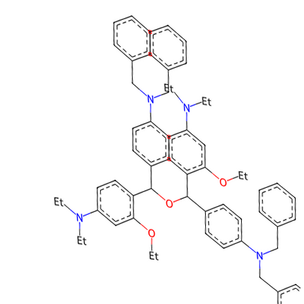 CCOc1cc(N(CC)CC)ccc1C(OC(c1ccc(N(Cc2ccccc2)Cc2ccccc2)cc1)c1ccc(N(CC)CC)cc1OCC)c1ccc(N(Cc2ccccc2)Cc2ccccc2)cc1